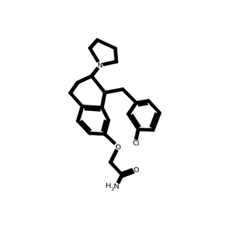 NC(=O)COc1ccc2c(c1)C(Cc1cccc(Cl)c1)C(N1CCCC1)CC2